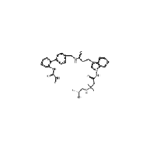 CNC(=O)Nc1ccccc1-c1ccc(CNC(=O)CCc2cn(NC(=O)CC(C)(C)NC[C@@H](C)O)c3ccccc23)cc1